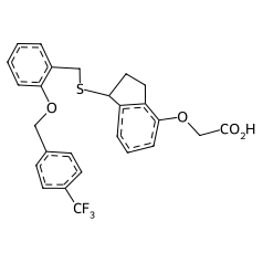 O=C(O)COc1cccc2c1CCC2SCc1ccccc1OCc1ccc(C(F)(F)F)cc1